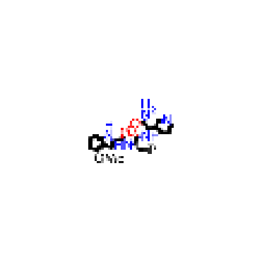 COc1cccc2[nH]c(C(=O)N[C@@H](CC(C)C)C(=O)NC(C(N)=O)c3cccnc3)cc12